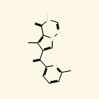 Cc1cccc(C(=O)c2cn3nc[nH]c(=O)c3c2C)n1